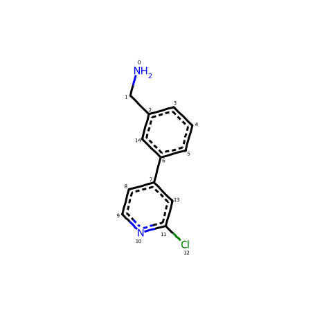 NCc1cccc(-c2ccnc(Cl)c2)c1